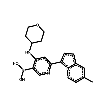 Cc1cnn2c(-c3cc(NC4CCOCC4)c(B(O)O)cn3)ccc2c1